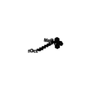 CCCCCCCCC=CCCCCCCCCOCC(COC(c1ccccc1)(c1ccccc1)c1ccccc1)OC